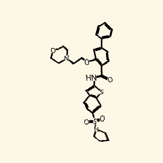 O=C(Nc1cc2ccc(S(=O)(=O)N3CCCC3)cc2s1)c1ccc(-c2ccccc2)cc1OCCN1CCOCC1